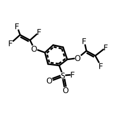 O=S(=O)(F)c1cc(OC(F)=C(F)F)ccc1OC(F)=C(F)F